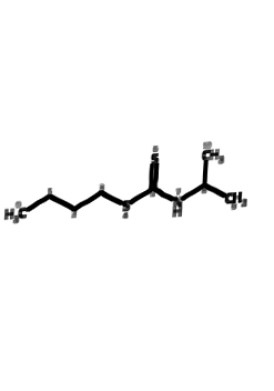 CCCCSC(=S)NC(C)C